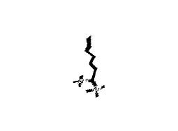 CCCCCCC([N+](C)(C)C)[N+](C)(C)C